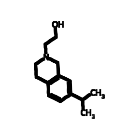 CC(C)c1ccc2c(c1)CN(CCO)CC2